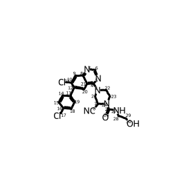 N#CC1CN(c2ncnc3cc(Cl)c(-c4ccc(Cl)cc4)cc23)CCN1C(=O)NCCO